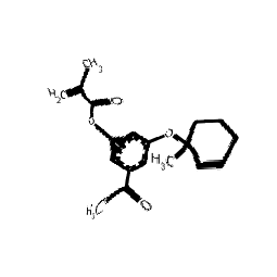 C=C(C)C(=O)Oc1cc(OC2(C)CCCCC2)cc(C(C)=O)c1